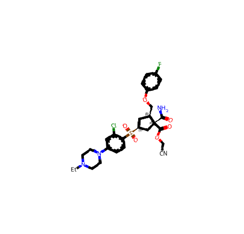 CCN1CCN(c2ccc(S(=O)(=O)[C@H]3C[C@@H](COc4ccc(F)cc4)[C@](C(N)=O)(C(=O)OCC#N)C3)c(Cl)c2)CC1